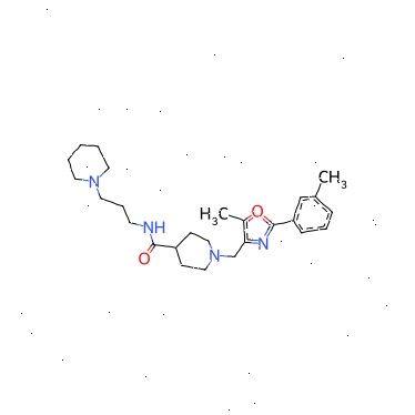 Cc1cccc(-c2nc(CN3CCC(C(=O)NCCCN4CCCCC4)CC3)c(C)o2)c1